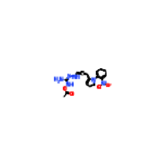 CC(=O)ONC(N)=NNC=C=Cc1cccn1-c1ccccc1[N+](=O)[O-]